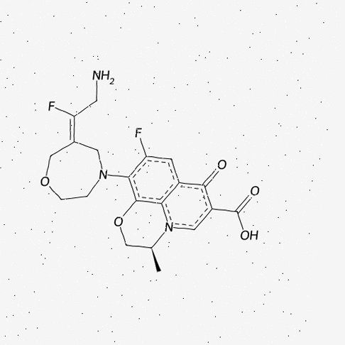 C[C@H]1COc2c(N3CCOC/C(=C(\F)CN)C3)c(F)cc3c(=O)c(C(=O)O)cn1c23